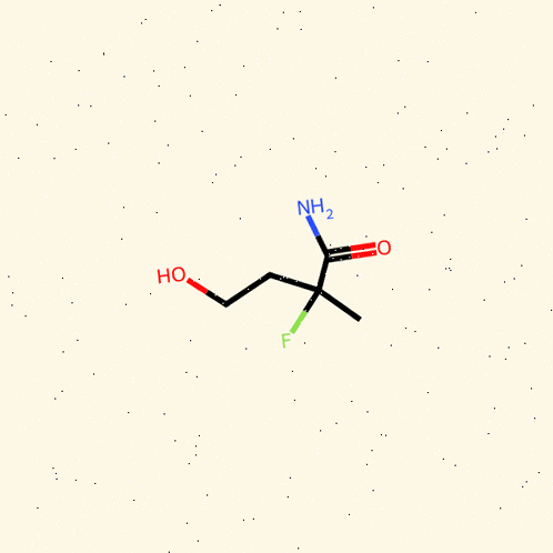 CC(F)(CCO)C(N)=O